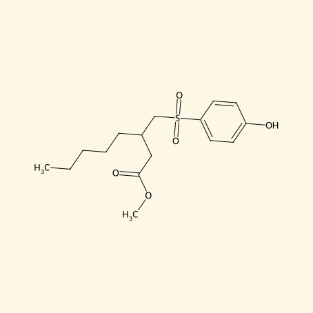 CCCCCC(CC(=O)OC)CS(=O)(=O)c1ccc(O)cc1